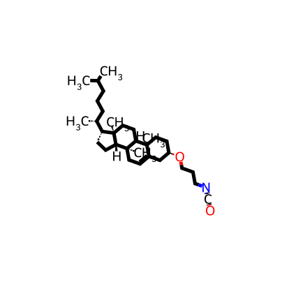 CC(C)CCC[C@@H](C)[C@H]1CC[C@@H]2[C@]1(C)CC[C@H]1[C@@]2(C)CC=C2C[C@@H](OCCCN=C=O)CC[C@@]21C